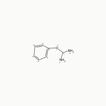 NC(N)Oc1ccccc1